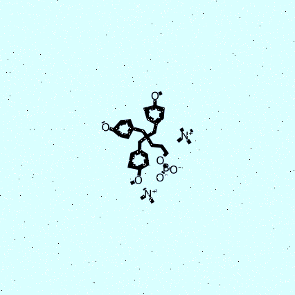 COc1ccc(CC(CCCOB([O-])[O-])(Cc2ccc(OC)cc2)Cc2ccc(OC)cc2)cc1.C[N+](C)(C)C.C[N+](C)(C)C